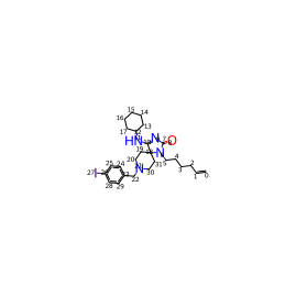 C=CCCCCN1C(=O)N=C(NC2CCCCC2)C12CCN(Cc1ccc(I)cc1)CC2